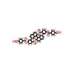 O=C(Oc1ccc(C(=O)Oc2ccc3ccccc3c2-c2c(OC(=O)c3ccc(OC(=O)c4ccc(O)cc4)cc3)ccc3ccccc23)cc1)c1ccc(O)cc1